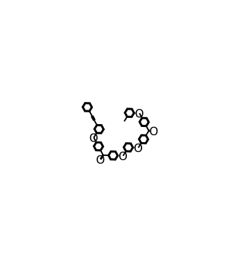 Cc1cccc(Oc2ccc(C(=O)c3ccc(Oc4cccc(Oc5ccc(C(=O)c6ccc(Oc7cccc(C#Cc8ccccc8)c7)cc6)cc5)c4)cc3)cc2)c1